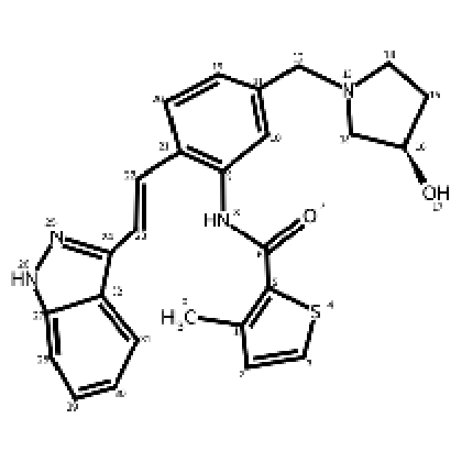 Cc1ccsc1C(=O)Nc1cc(CN2CC[C@@H](O)C2)ccc1/C=C/c1n[nH]c2ccccc12